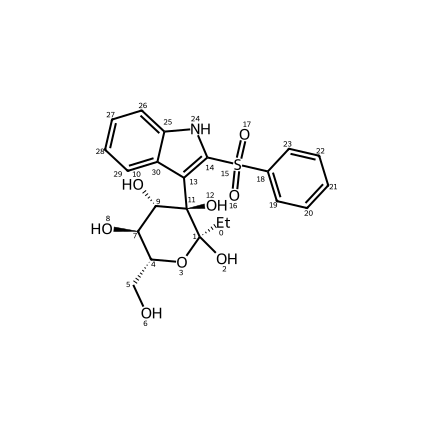 CC[C@]1(O)O[C@H](CO)[C@@H](O)[C@H](O)[C@]1(O)c1c(S(=O)(=O)c2ccccc2)[nH]c2ccccc12